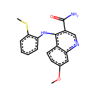 COc1ccc2c(Nc3ccccc3SC)c(C(N)=O)cnc2c1